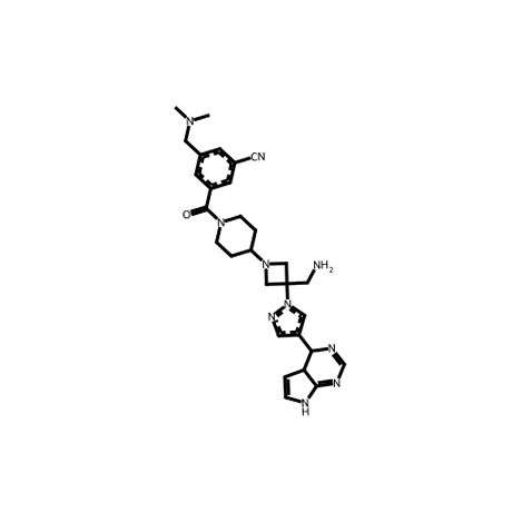 CN(C)Cc1cc(C#N)cc(C(=O)N2CCC(N3CC(CN)(n4cc(C5N=CN=C6NC=CC65)cn4)C3)CC2)c1